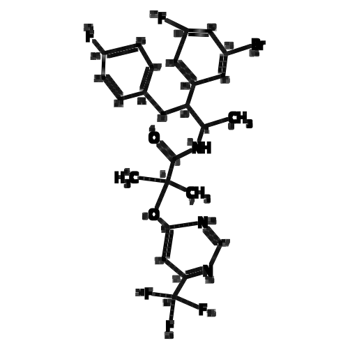 CC(NC(=O)C(C)(C)Oc1cc(C(F)(F)F)ncn1)C(Cc1ccc(F)cc1)c1cc(F)cc(Br)c1